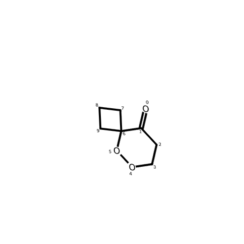 O=C1CCOOC12CCC2